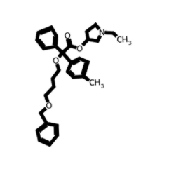 CCN1CCC(OC(=O)C(OCCCCOCc2ccccc2)(c2ccccc2)c2ccc(C)cc2)C1